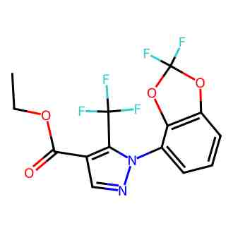 CCOC(=O)c1cnn(-c2cccc3c2OC(F)(F)O3)c1C(F)(F)F